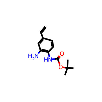 C=Cc1ccc(NC(=O)OC(C)(C)C)c(N)c1